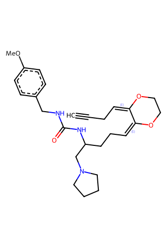 C#CC/C=C1/OCCO/C1=C/CCC(CN1CCCC1)NC(=O)NCc1ccc(OC)cc1